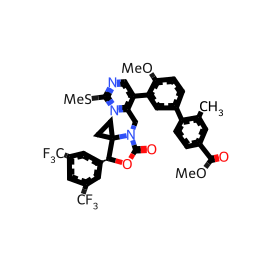 COC(=O)c1ccc(-c2ccc(OC)c(-c3cnc(SC)nc3CN3C(=O)O[C@H](c4cc(C(F)(F)F)cc(C(F)(F)F)c4)C34CC4)c2)c(C)c1